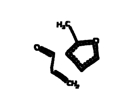 C=CC=O.Cc1ccco1